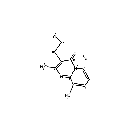 Cc1nc2c(O)cccn2c(=O)c1CCCl.Cl